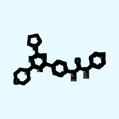 O=C(Nc1ccncc1)Nc1ccc(-c2nc(N3CCCC3)nc(N3CCOCC3)n2)cc1